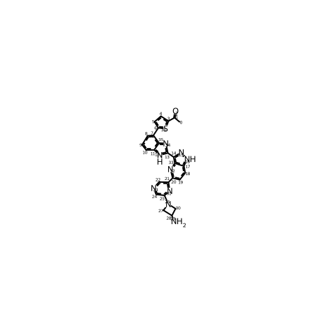 CC(=O)c1ccc(-c2cccc3[nH]c(-c4n[nH]c5ccc(-c6cncc(N7CC(N)C7)n6)nc45)nc23)s1